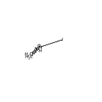 CCC(C)N1CCN(c2ccc(C(=O)NCCCCCCCCCCCCCCCCCCI)cn2)CC1